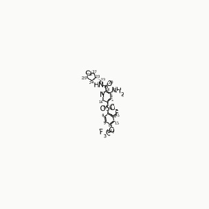 Nc1cc(S(=O)(=O)c2ccc(OC(F)(F)F)cc2F)cnc1C(=O)NC[C@@H]1CCOC1